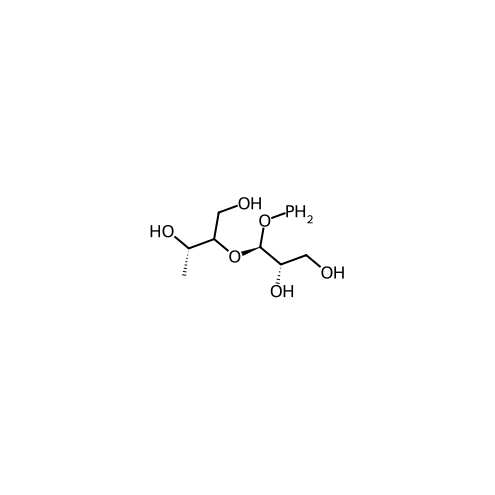 C[C@H](O)C(CO)O[C@@H](OP)[C@@H](O)CO